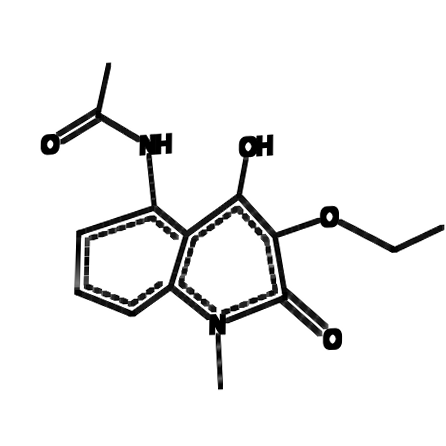 CCOc1c(O)c2c(NC(C)=O)cccc2n(C)c1=O